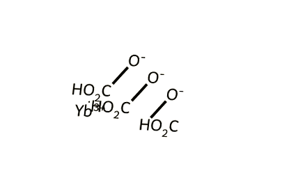 O=C([O-])O.O=C([O-])O.O=C([O-])O.[Yb+3]